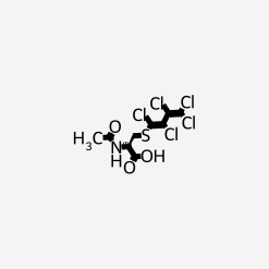 CC(=O)N[C@@H](CSC(Cl)=C(Cl)C(Cl)=C(Cl)Cl)C(=O)O